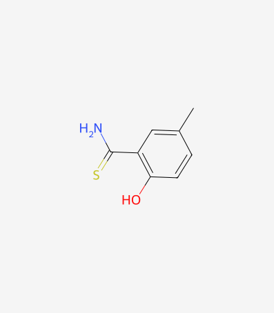 Cc1ccc(O)c(C(N)=S)c1